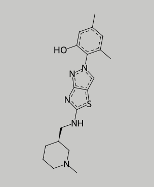 Cc1cc(C)c(-n2cc3sc(NC[C@@H]4CCCN(C)C4)nc3n2)c(O)c1